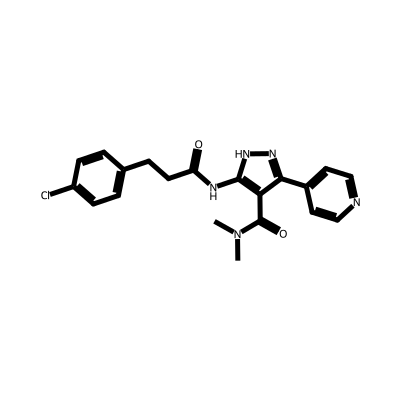 CN(C)C(=O)c1c(-c2ccncc2)n[nH]c1NC(=O)CCc1ccc(Cl)cc1